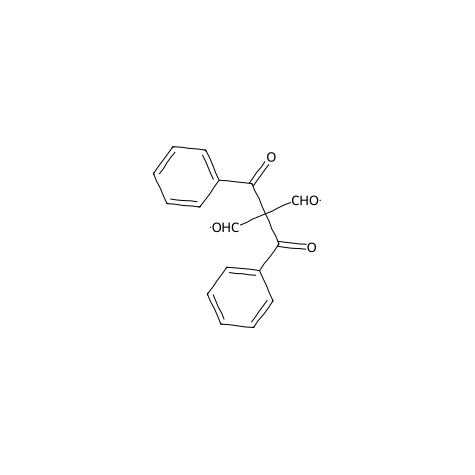 O=[C]C([C]=O)(C(=O)c1ccccc1)C(=O)c1ccccc1